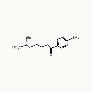 CSc1ccc(C(=O)CCCCN(C(=O)O)C(C)(C)C)cc1